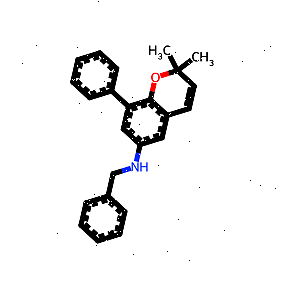 CC1(C)C=Cc2cc(NCc3ccccc3)cc(-c3ccccc3)c2O1